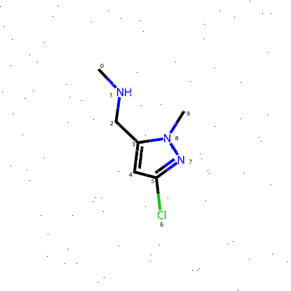 CNCc1cc(Cl)nn1C